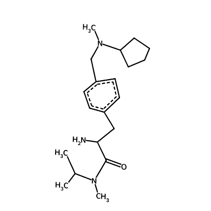 CC(C)N(C)C(=O)C(N)Cc1ccc(CN(C)C2CCCC2)cc1